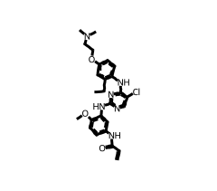 C=CC(=O)Nc1ccc(OC)c(Nc2ncc(Cl)c(Nc3ccc(OCCN(C)C)cc3CC)n2)c1